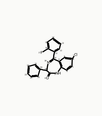 O=C1Nc2ccc(Cl)cc2C(c2ccccc2F)=NC1c1ccccc1